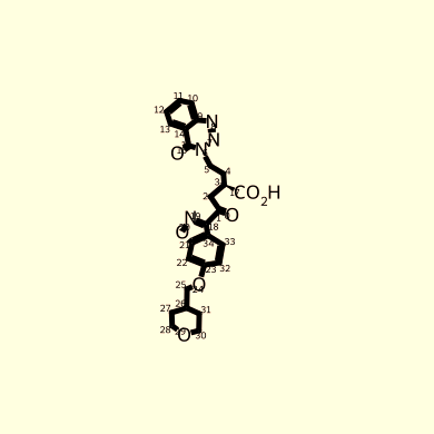 O=C(C[C@@H](CCn1nnc2ccccc2c1=O)C(=O)O)c1noc2cc(OCC3CCOCC3)ccc12